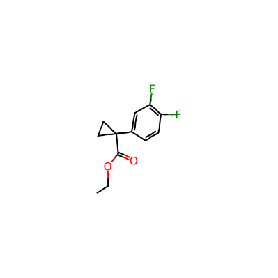 CCOC(=O)C1(c2ccc(F)c(F)c2)CC1